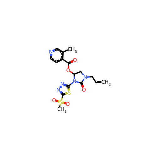 C=CCN1CC(OC(=O)c2ccncc2C)N(c2nnc(S(C)(=O)=O)s2)C1=O